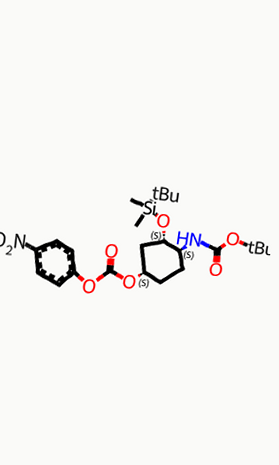 CC(C)(C)OC(=O)N[C@H]1CC[C@H](OC(=O)Oc2ccc([N+](=O)[O-])cc2)C[C@@H]1O[Si](C)(C)C(C)(C)C